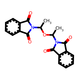 CC(OC(C)N1C(=O)c2ccccc2C1=O)N1C(=O)c2ccccc2C1=O